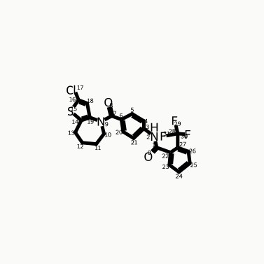 O=C(Nc1ccc(C(=O)N2CCCCc3sc(Cl)cc32)cc1)c1ccccc1C(F)(F)F